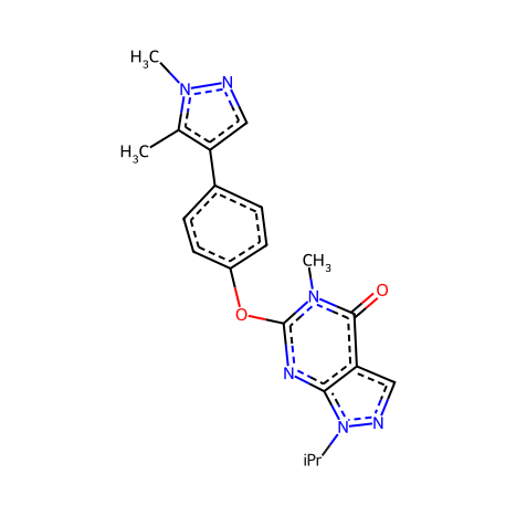 Cc1c(-c2ccc(Oc3nc4c(cnn4C(C)C)c(=O)n3C)cc2)cnn1C